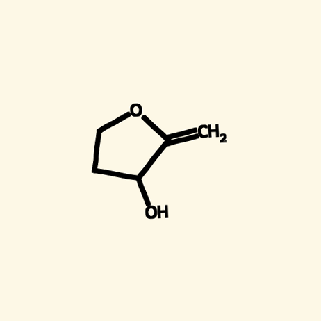 C=C1OCCC1O